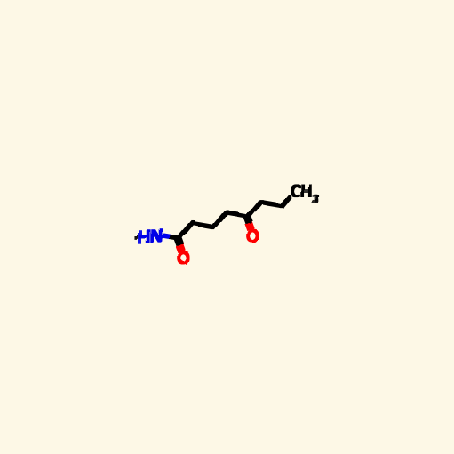 CCCC(=O)CCCC([NH])=O